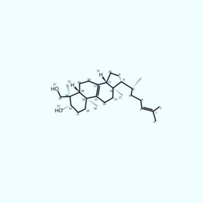 CC(C)=CCC[C@@H](C)[C@H]1CC[C@H]2C3=C(CC[C@]12C)[C@@]1(C)CC[C@H](O)[C@@](C)(CO)[C@@H]1CC3